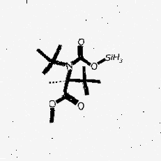 COC(=O)[C@@](C)(N(C(=O)O[SiH3])C(C)(C)C)C(C)(C)C